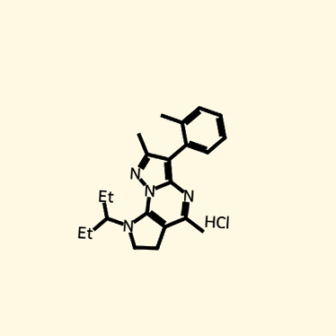 CCC(CC)N1CCc2c(C)nc3c(-c4ccccc4C)c(C)nn3c21.Cl